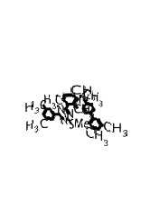 CSc1nc(-c2cc(C)cc(C)c2)nc(C2C(C)=C(N(C)c3ccc(-c4cc(C)cc(C)c4)cc3)C(C)=CC2C)n1